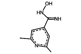 Cc1cc(C(=N)NO)cc(C)n1